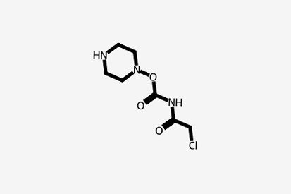 O=C(CCl)NC(=O)ON1CCNCC1